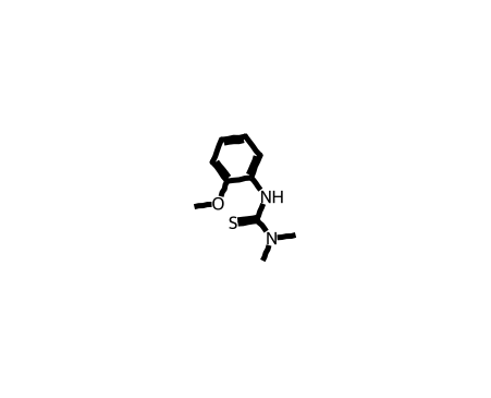 COc1ccccc1NC(=S)N(C)C